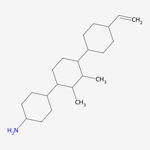 C=CC1CCC(C2CCC(C3CCC(N)CC3)C(C)C2C)CC1